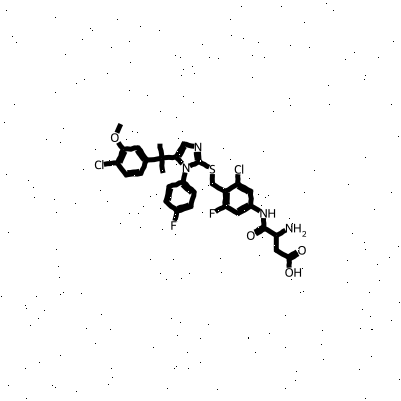 COc1cc(C(C)(C)c2cnc(SCc3c(F)cc(NC(=O)C(N)CC(=O)O)cc3Cl)n2-c2ccc(F)cc2)ccc1Cl